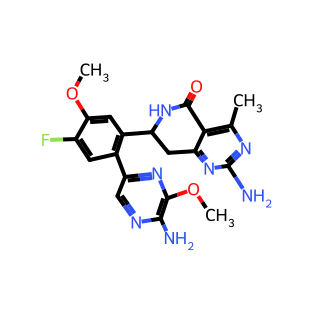 COc1cc(C2Cc3nc(N)nc(C)c3C(=O)N2)c(-c2cnc(N)c(OC)n2)cc1F